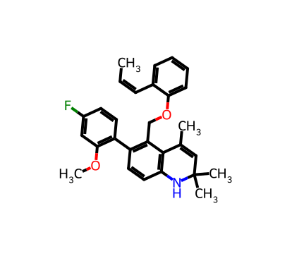 C/C=C\c1ccccc1OCc1c(-c2ccc(F)cc2OC)ccc2c1C(C)=CC(C)(C)N2